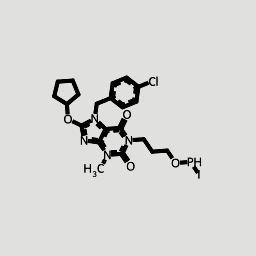 Cn1c(=O)n(CCCOPI)c(=O)c2c1nc(OC1CCCC1)n2Cc1ccc(Cl)cc1